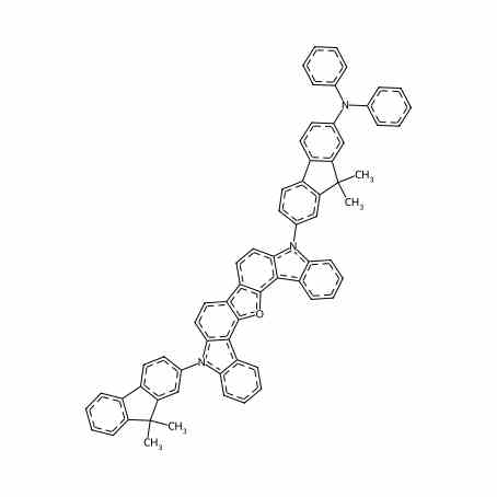 CC1(C)c2ccccc2-c2ccc(-n3c4ccccc4c4c5oc6c(ccc7c6c6ccccc6n7-c6ccc7c(c6)C(C)(C)c6cc(N(c8ccccc8)c8ccccc8)ccc6-7)c5ccc43)cc21